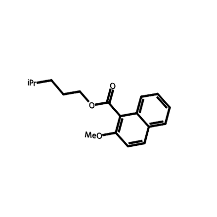 COc1ccc2ccccc2c1C(=O)OCCCC(C)C